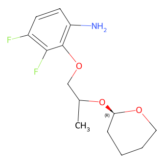 CC(COc1c(N)ccc(F)c1F)O[C@@H]1CCCCO1